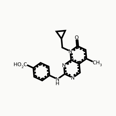 Cc1cc(=O)n(CC2CC2)c2nc(Nc3ccc(C(=O)O)cc3)ncc12